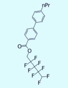 CCCc1ccc(-c2ccc(C(=O)OCC(F)(F)C(F)(F)C(F)(F)C(F)F)cc2)cc1